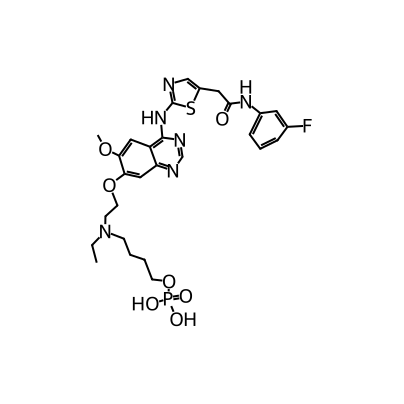 CCN(CCCCOP(=O)(O)O)CCOc1cc2ncnc(Nc3ncc(CC(=O)Nc4cccc(F)c4)s3)c2cc1OC